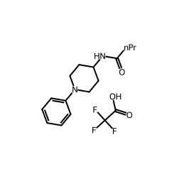 CCCC(=O)NC1CCN(c2ccccc2)CC1.O=C(O)C(F)(F)F